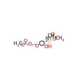 COC(=O)COCCOc1ccc(C2=N[C@@](C)(C(=O)OC)CS2)c(O)c1